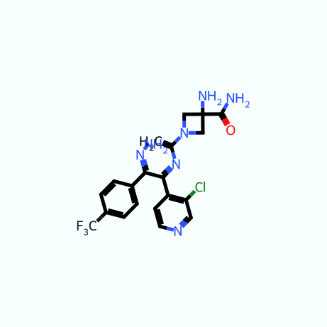 C=C(/N=C(\C(=N/N)c1ccc(C(F)(F)F)cc1)c1ccncc1Cl)N1CC(N)(C(N)=O)C1